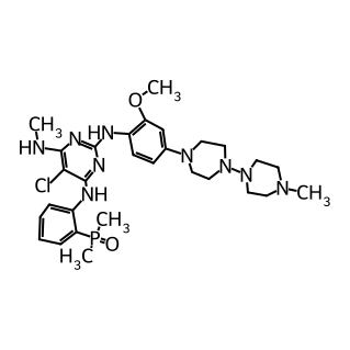 CNc1nc(Nc2ccc(N3CCN(N4CCN(C)CC4)CC3)cc2OC)nc(Nc2ccccc2P(C)(C)=O)c1Cl